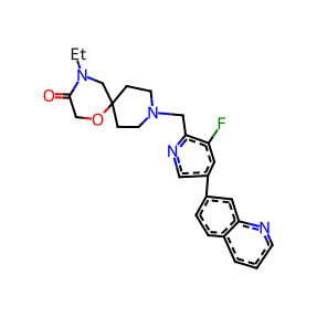 CCN1CC2(CCN(Cc3ncc(-c4ccc5cccnc5c4)cc3F)CC2)OCC1=O